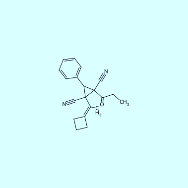 CCC(=O)C1(C#N)C(c2ccccc2)C1(C#N)C(C)=C1CCC1